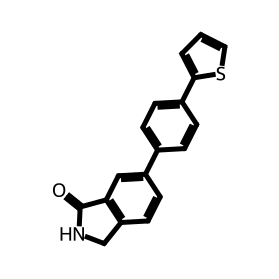 O=C1NCc2ccc(-c3ccc(-c4cccs4)cc3)cc21